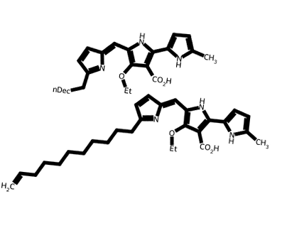 C=CCCCCCCCCCC1=NC(=Cc2[nH]c(-c3ccc(C)[nH]3)c(C(=O)O)c2OCC)C=C1.CCCCCCCCCCCC1=NC(=Cc2[nH]c(-c3ccc(C)[nH]3)c(C(=O)O)c2OCC)C=C1